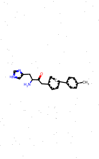 Cc1ccc(-c2ccc(CC(=O)C(N)Cc3c[nH]cn3)cc2)cc1